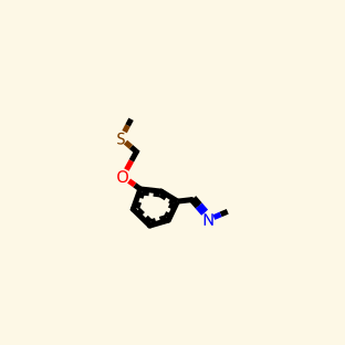 CN=Cc1cccc(OCSC)c1